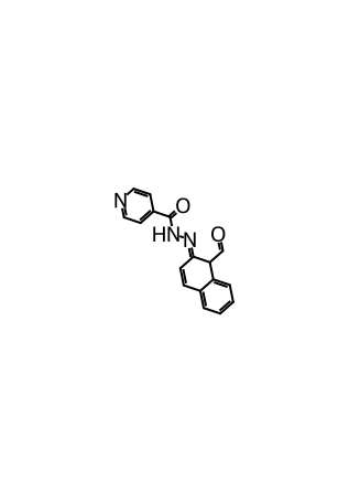 O=CC1C(=NNC(=O)c2ccncc2)C=Cc2ccccc21